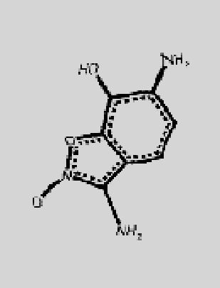 Nc1ccc2c(N)[n+]([O-])oc2c1O